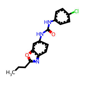 CCCc1nc2ccc(NC(=O)Nc3ccc(Cl)cc3)cc2o1